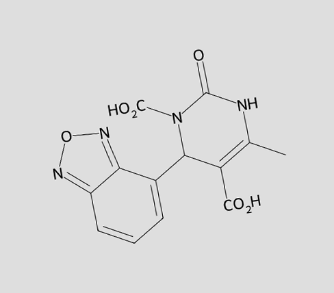 CC1=C(C(=O)O)C(c2cccc3nonc23)N(C(=O)O)C(=O)N1